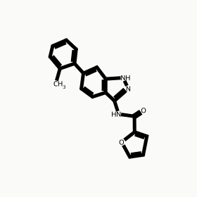 Cc1ccccc1-c1ccc2c(NC(=O)c3ccco3)n[nH]c2c1